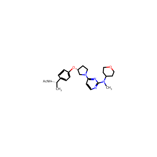 CC(=O)N[C@@H](C)c1ccc(O[C@@H]2CCN(c3ccnc(N(C)C4CCOCC4)n3)C2)cc1